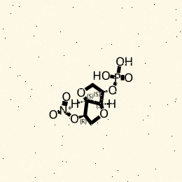 O=[N+]([O-])O[C@@H]1CO[C@H]2[C@@H]1OC[C@@H]2OP(=O)(O)O